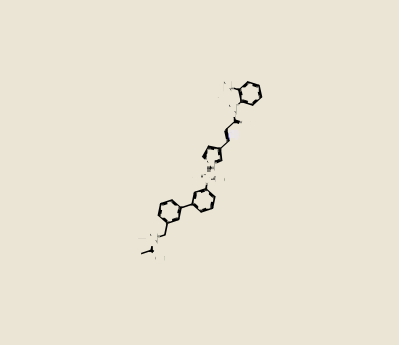 CC(=O)NCc1cccc(-c2cccc(S(=O)(=O)n3ccc(/C=C/C(=O)Nc4ccccc4N)c3)c2)c1